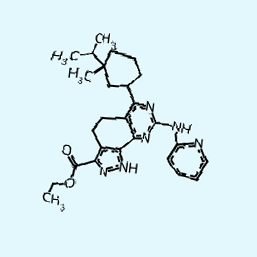 CCOC(=O)c1n[nH]c2c1CCc1c-2nc(Nc2ccccn2)nc1C1CCCC(C)(C(C)C)C1